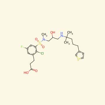 CN(CC(O)CNC(C)(C)CCCc1ccsc1)S(=O)(=O)c1cc(F)cc(CCC(=O)O)c1Cl